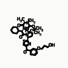 C[C@@H](C(=O)N[C@H](C(=O)N1CCC[C@H]1c1nc(C(=O)c2cccc(OCCCO)c2)cs1)C1CCCCC1)N(C)C(=O)OC(C)(C)C